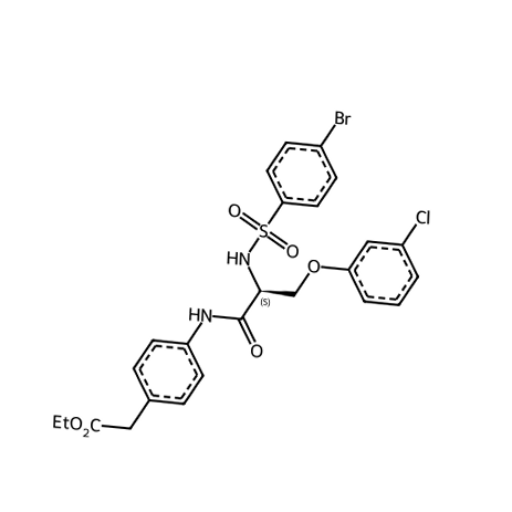 CCOC(=O)Cc1ccc(NC(=O)[C@H](COc2cccc(Cl)c2)NS(=O)(=O)c2ccc(Br)cc2)cc1